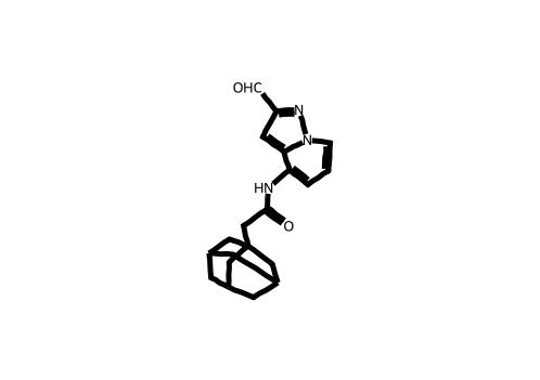 O=Cc1cc2c(NC(=O)CC34CC5CC(CC(C5)C3)C4)cccn2n1